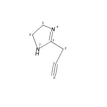 [C]#CCC1=NCCN1